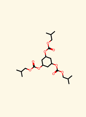 CC(C)COC(=O)OC1CC(OC(=O)OCC(C)C)CC(OC(=O)OCC(C)C)C1